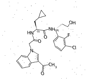 CC(=O)c1cn(CC(=O)N[C@@H](CC2CC2)C(=O)N[C@H](CCO)c2cccc(Cl)c2F)c2ccccc12